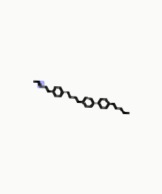 C/C=C/CC[C@H]1CC[C@H](CCCCC2CCC([C@H]3CC[C@H](CCCCC)CC3)CC2)CC1